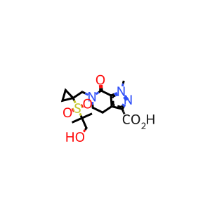 Cn1nc(C(=O)O)c2c1C(=O)N(CC1(S(=O)(=O)C(C)(C)CO)CC1)CC2